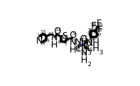 C/C(NNC(=O)c1ccc(C(=O)NCc2ccncc2)s1)=C(/C(=O)Nc1ccc(C(F)(F)F)cc1)C(C)N